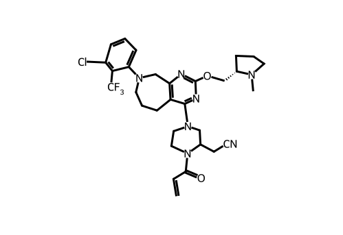 C=CC(=O)N1CCN(c2nc(OC[C@@H]3CCCN3C)nc3c2CCCN(c2cccc(Cl)c2C(F)(F)F)C3)CC1CC#N